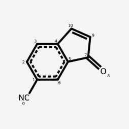 N#Cc1ccc2c(c1)C(=O)C=C2